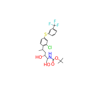 CC(CC(O)C(CO)NC(=O)OC(C)(C)C)c1ccc(Sc2cccc(C(F)(F)F)c2)cc1Cl